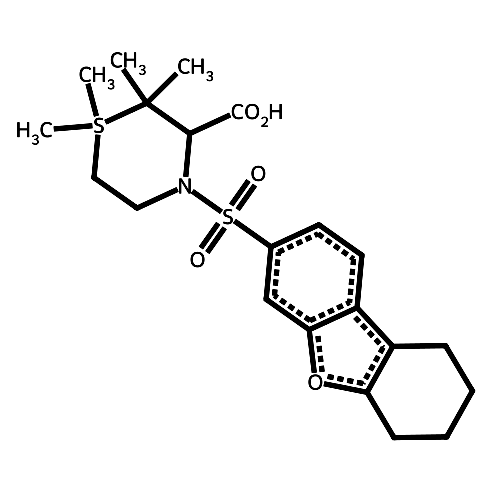 CC1(C)C(C(=O)O)N(S(=O)(=O)c2ccc3c4c(oc3c2)CCCC4)CCS1(C)C